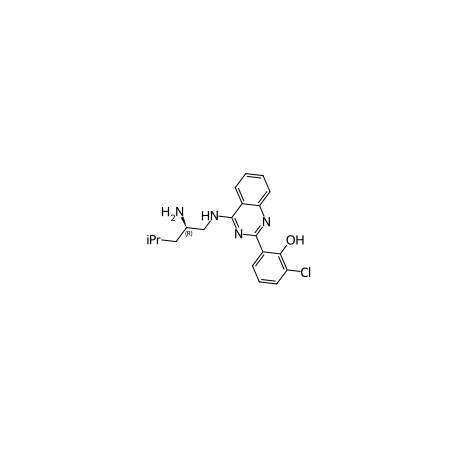 CC(C)C[C@@H](N)CNc1nc(-c2cccc(Cl)c2O)nc2ccccc12